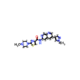 CN1CCN(c2nc(C(=O)Nc3cc4cc(-c5cnn(C)c5)cnc4cn3)cs2)CC1